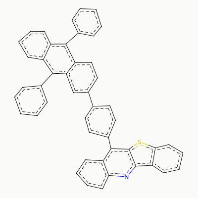 c1ccc(-c2c3ccccc3c(-c3ccccc3)c3cc(-c4ccc(-c5c6ccccc6nc6c5sc5ccccc56)cc4)ccc23)cc1